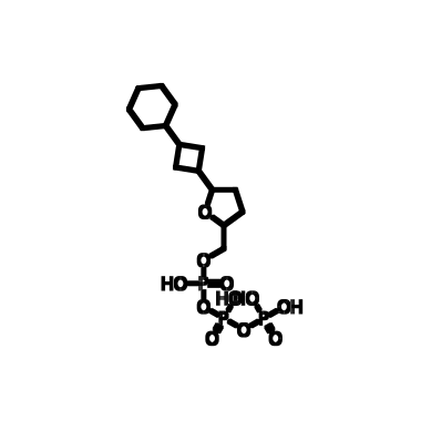 O=P(O)(O)OP(=O)(O)OP(=O)(O)OCC1CCC(C2CC(C3CCCCC3)C2)O1